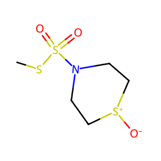 CSS(=O)(=O)N1CC[S+]([O-])CC1